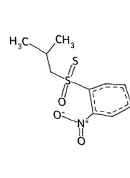 CC(C)CS(=O)(=S)c1ccccc1[N+](=O)[O-]